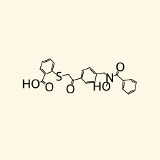 O=C(CSc1ccccc1C(=O)O)c1ccc(CN(O)C(=O)c2ccccc2)cc1